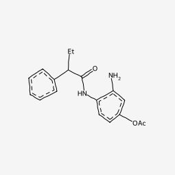 CCC(C(=O)Nc1ccc(OC(C)=O)cc1N)c1ccccc1